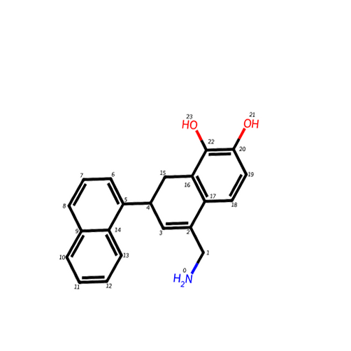 NCC1=CC(c2cccc3ccccc23)Cc2c1ccc(O)c2O